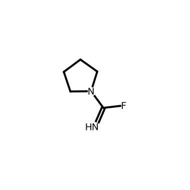 N=C(F)N1CCCC1